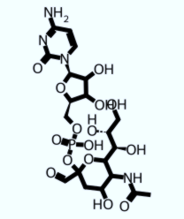 CC(=O)NC1C(O)CC(C=O)(OP(=O)(O)OC[C@H]2O[C@@H](n3ccc(N)nc3=O)C(O)C2O)OC1[C@H](O)[C@H](O)CO